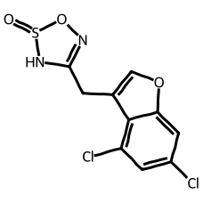 O=S1NC(Cc2coc3cc(Cl)cc(Cl)c23)=NO1